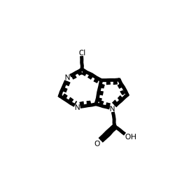 O=C(O)n1ccc2c(Cl)ncnc21